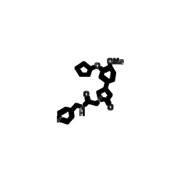 COc1ccc(C2CC(=O)N(CC(=O)NCc3ccncc3)C2)cc1OC1CCCC1